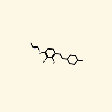 C/C=C/Oc1ccc(CCC2CCC(C)CC2)c(F)c1F